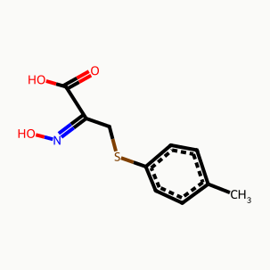 Cc1ccc(SCC(=NO)C(=O)O)cc1